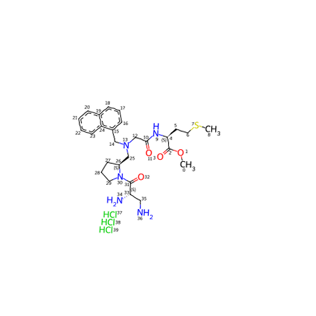 COC(=O)[C@H](CCSC)NC(=O)CN(Cc1cccc2ccccc12)C[C@@H]1CCCN1C(=O)[C@@H](N)CN.Cl.Cl.Cl